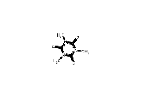 Cn1c(=O)n(C)c(=O)n(C)c1=O